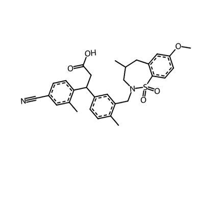 COc1ccc2c(c1)CC(C)CN(Cc1cc(C(CC(=O)O)c3ccc(C#N)cc3C)ccc1C)S2(=O)=O